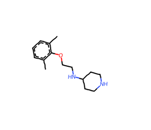 Cc1cccc(C)c1OCCNC1CCNCC1